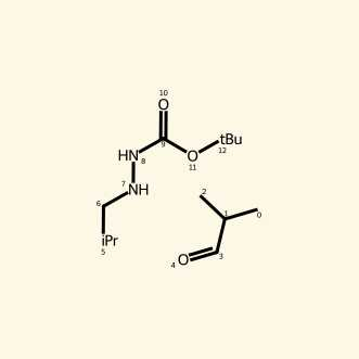 CC(C)C=O.CC(C)CNNC(=O)OC(C)(C)C